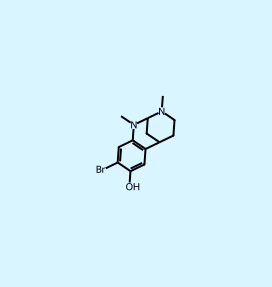 CN1CCC2CC1N(C)c1cc(Br)c(O)cc12